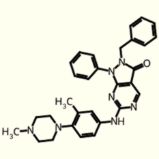 Cc1cc(Nc2ncc3c(=O)n(Cc4ccccc4)n(-c4ccccc4)c3n2)ccc1N1CCN(C)CC1